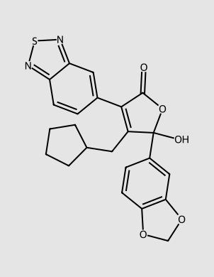 O=C1OC(O)(c2ccc3c(c2)OCO3)C(CC2CCCC2)=C1c1ccc2nsnc2c1